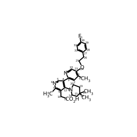 Cc1cc(-c2cnc(C)c(CC(=O)O)c2N2CCC(C)(C)CC2)ncc1OCCc1ccc(F)cc1